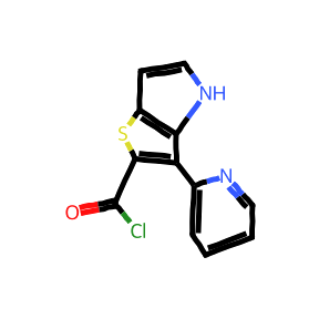 O=C(Cl)c1sc2cc[nH]c2c1-c1ccccn1